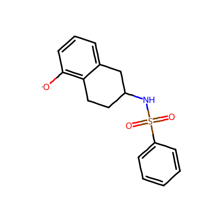 [O]c1cccc2c1CCC(NS(=O)(=O)c1ccccc1)C2